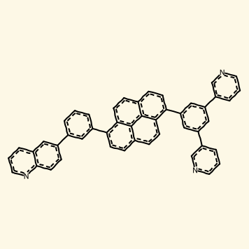 c1cncc(-c2cc(-c3cccnc3)cc(-c3ccc4ccc5c(-c6cccc(-c7ccc8ncccc8c7)c6)ccc6ccc3c4c65)c2)c1